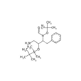 CC(C)(C)ON(C=O)C(Cc1ccccc1)C(CN)O[Si](C)(C)C(C)(C)C